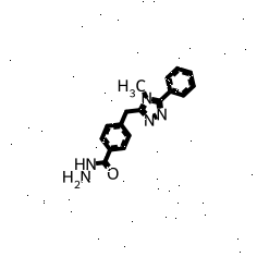 Cn1c(Cc2ccc(C(=O)NN)cc2)nnc1-c1ccccc1